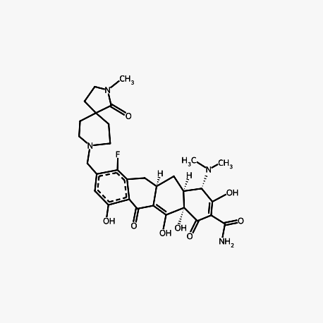 CN1CCC2(CCN(Cc3cc(O)c4c(c3F)C[C@H]3C[C@H]5[C@H](N(C)C)C(O)=C(C(N)=O)C(=O)[C@@]5(O)C(O)=C3C4=O)CC2)C1=O